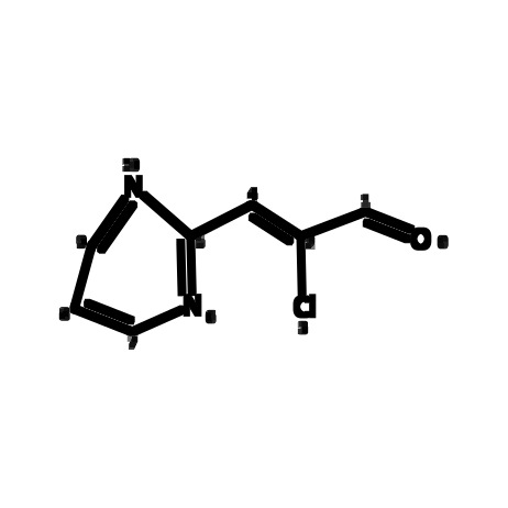 O=CC(Cl)=Cc1ncccn1